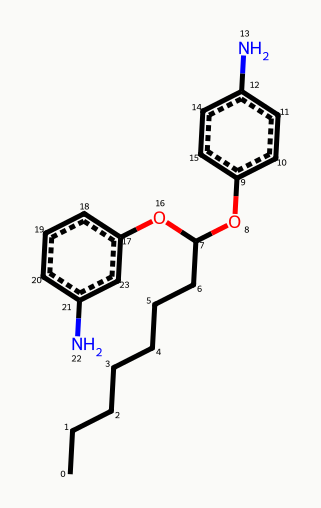 CCCCCCCC(Oc1ccc(N)cc1)Oc1cccc(N)c1